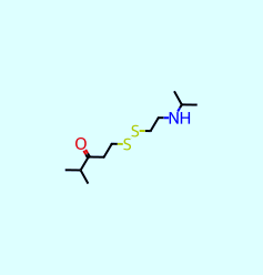 CC(C)NCCSSCCC(=O)C(C)C